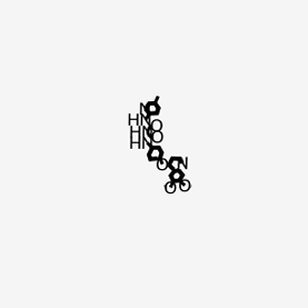 COc1cc2nccc(Oc3ccc(NC(=O)NC(=O)Nc4ccc(C)cn4)cc3)c2cc1OC